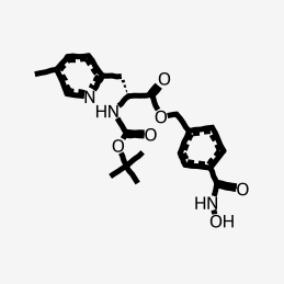 Cc1ccc(C[C@@H](NC(=O)OC(C)(C)C)C(=O)OCc2ccc(C(=O)NO)cc2)nc1